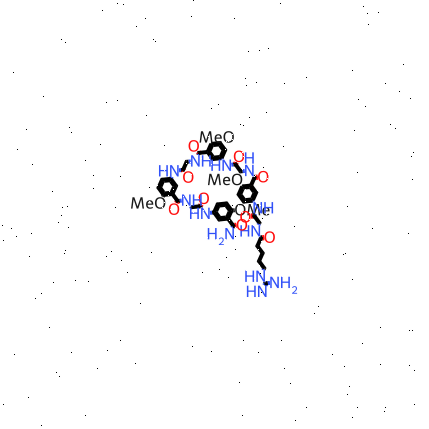 COc1ccc(NC(=O)CNC(=O)c2cc(NC(=O)CNC(=O)c3cc(NC(=O)CNC(=O)c4cc(NC(=O)CNC(=O)CCCCNC(=N)N)ccc4OC)ccc3OC)ccc2OC)cc1C(N)=O